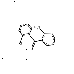 Nc1ncccc1C(=O)c1ccccc1Cl